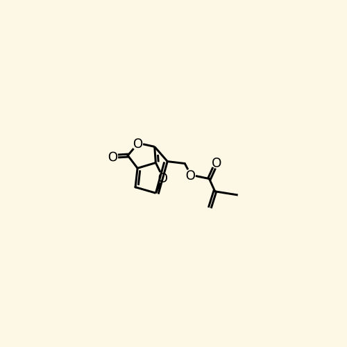 C=C(C)C(=O)OCc1c2c3oc1cc3C(=O)O2